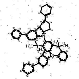 CC1(C)c2c(cc3c4c2c2cc(-c5ccccc5)ccc2n4-c2ccccc2C3(C)C)-n2c3c(c4cc(-c5ccccc5)cc1c42)C=C(C1=CC=CCC1)CC3